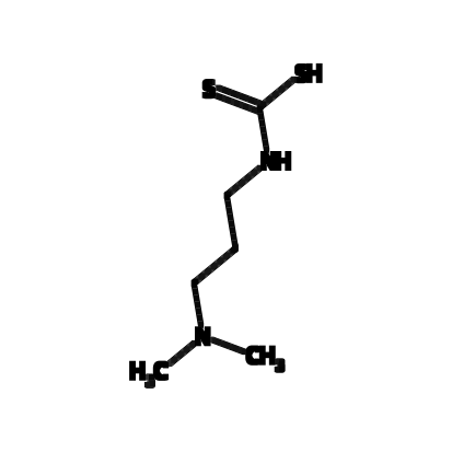 CN(C)CCCNC(=S)S